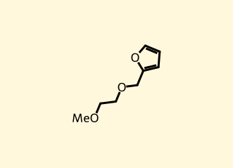 COCCOCc1ccco1